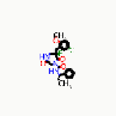 CC[C@@H](NC(=O)N1CC(=O)NCC(F)(Cc2cc(Cl)ccc2OC)C1=O)c1ccccc1